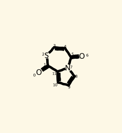 O=c1sccc(=O)n2cccc12